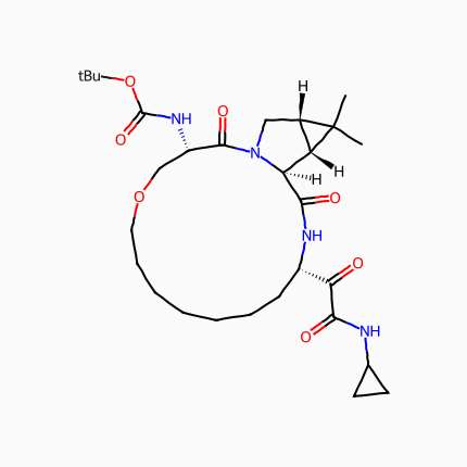 CC(C)(C)OC(=O)N[C@H]1COCCCCCCC[C@@H](C(=O)C(=O)NC2CC2)NC(=O)[C@@H]2[C@@H]3[C@H](CN2C1=O)C3(C)C